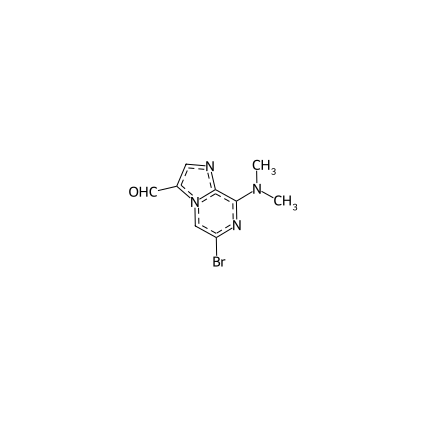 CN(C)c1nc(Br)cn2c(C=O)cnc12